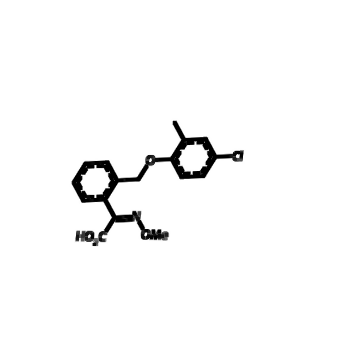 CON=C(C(=O)O)c1ccccc1COc1ccc(Cl)cc1C